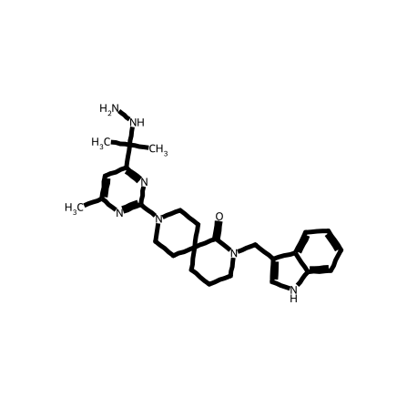 Cc1cc(C(C)(C)NN)nc(N2CCC3(CCCN(Cc4c[nH]c5ccccc45)C3=O)CC2)n1